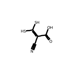 N#CC(C(=O)O)=C(S)S